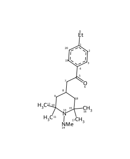 CCc1ccc(C(=O)CC2CC(C)(C)N(NC)C(C)(C)C2)cc1